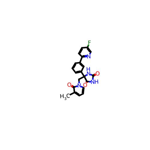 Cc1cccn(CC2(c3cccc(-c4ccc(F)cn4)c3)NC(=O)NC2=O)c1=O